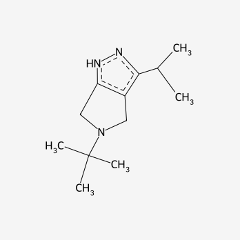 CC(C)c1n[nH]c2c1CN(C(C)(C)C)C2